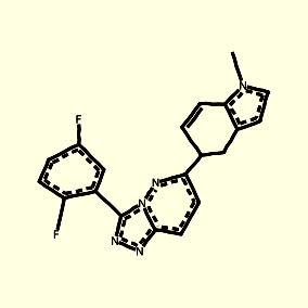 Cn1ccc2c1C=CC(c1ccc3nnc(-c4cc(F)ccc4F)n3n1)C2